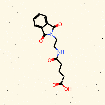 O=C(O)CCCC(=O)NCCN1C(=O)c2ccccc2C1=O